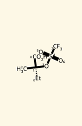 CC[C@@](C)(OS(=O)(=O)C(F)(F)F)C(=O)O